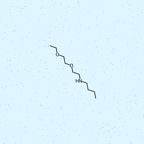 [CH2]COCCOCCNCCCC